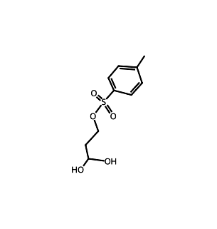 Cc1ccc(S(=O)(=O)OCCC(O)O)cc1